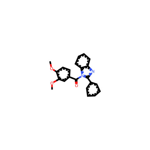 COc1ccc(C(=O)n2c(-c3ccccc3)nc3ccccc32)cc1OC